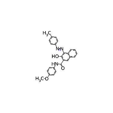 COc1ccc(NC(=O)c2cc3ccccc3c(/N=N/c3ccc(C)cc3)c2O)cc1